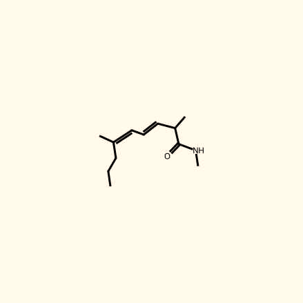 CCC/C(C)=C\C=C\C(C)C(=O)NC